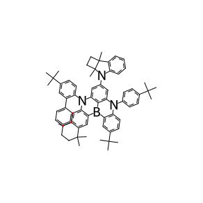 CC1CCC(C)(C)c2cc3c(cc21)N(c1ccc(C(C)(C)C)cc1C1=CC=C=C=C1)c1cc(N2c4ccccc4C4(C)CCC24C)cc2c1B3c1cc(C(C)(C)C)ccc1N2c1ccc(C(C)(C)C)cc1